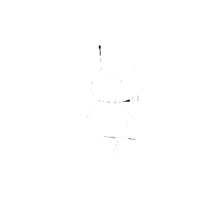 C[C@@H]1O[C@]2(F)COP(C)(=O)O[C@H]2[C@H]1F